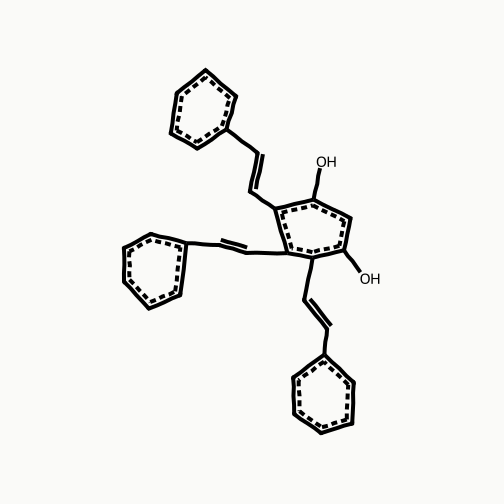 Oc1cc(O)c(C=Cc2ccccc2)c(C=Cc2ccccc2)c1C=Cc1ccccc1